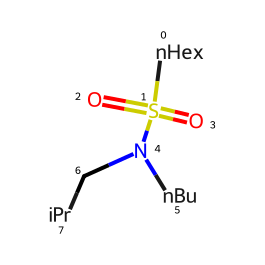 CCCCCCS(=O)(=O)N(CCCC)CC(C)C